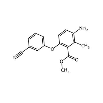 COC(=O)c1c(Oc2cccc(C#N)c2)ccc(N)c1C